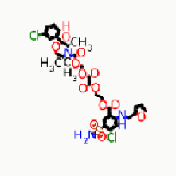 C[C@@H]1N(C(=O)OCOC(=O)C(=O)OCCOC(=O)c2cc(S(N)(=O)=O)c(Cl)cc2NCc2ccco2)C(C)(C)CO[C@@]1(O)c1cccc(Cl)c1